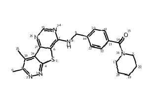 Cc1nnc2sc3c(NCc4ccc(C(=O)N5CCCCC5)cc4)ncnc3c2c1C